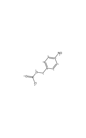 O=Nc1ccc(COC(=O)Cl)cc1